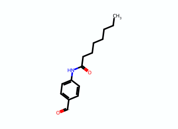 CCCCCCCC(=O)Nc1ccc([C]=O)cc1